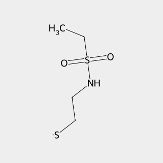 CCS(=O)(=O)NCC[S]